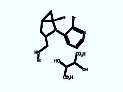 CCNCC1CC2C[C@@H]2N1c1cccnc1Br.O=C(O)C(O)C(O)C(=O)O